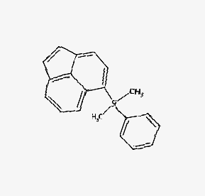 C[Si](C)(c1ccccc1)c1ccc2c3c(cccc13)C=C2